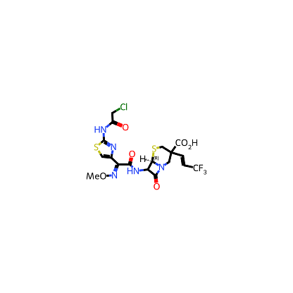 CON=C(C(=O)NC1C(=O)N2CC(C=CC(F)(F)F)(C(=O)O)CS[C@H]12)c1csc(NC(=O)CCl)n1